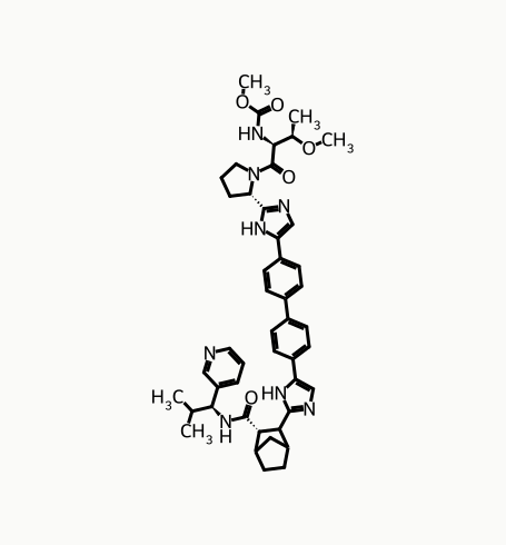 COC(=O)N[C@H](C(=O)N1CCC[C@H]1c1ncc(-c2ccc(-c3ccc(-c4cnc(C5C6CCC(C6)[C@@H]5C(=O)N[C@H](c5cccnc5)C(C)C)[nH]4)cc3)cc2)[nH]1)[C@@H](C)OC